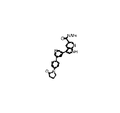 CNC(=O)c1cnc2[nH]cc(-c3cncc(-c4ccc(N5CCCC5=O)cc4)c3)c2c1